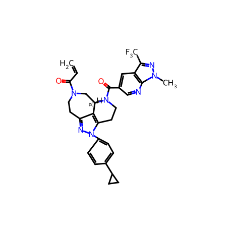 C=CC(=O)N1CCc2nn(-c3ccc(C4CC4)cc3)c3c2[C@@H](C1)N(C(=O)c1cnc2c(c1)c(C(F)(F)F)nn2C)CC3